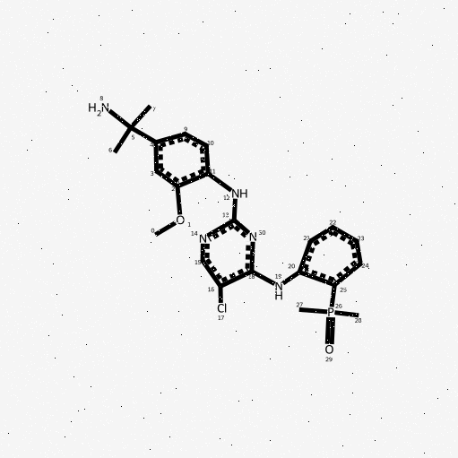 COc1cc(C(C)(C)N)ccc1Nc1ncc(Cl)c(Nc2ccccc2P(C)(C)=O)n1